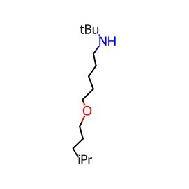 CC(C)CCCOCCCCCNC(C)(C)C